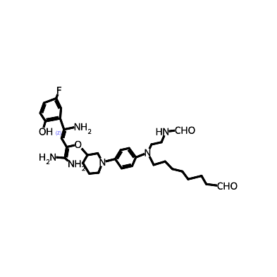 NC(N)=C(/C=C(\N)c1cc(F)ccc1O)OC1CCCN(c2ccc(N(CCCCCCCC=O)CCNC=O)cc2)C1